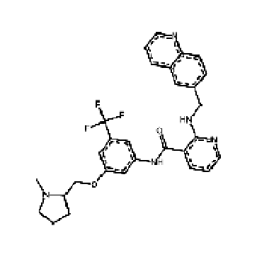 CN1CCCC1COc1cc(NC(=O)c2cccnc2NCc2ccc3ncccc3c2)cc(C(F)(F)F)c1